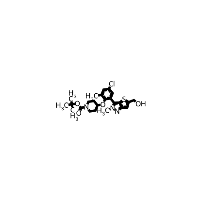 Cc1cc(Cl)cc(-c2c3sc(CO)cc3nn2C)c1OC1CCN(C(=O)OC(C)(C)C)CC1